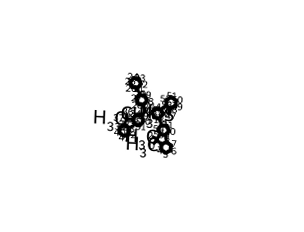 CC1(C)c2ccccc2-c2ccc(-c3cc(N(c4ccc(-c5ccccc5)cc4)c4ccc5c(c4)C(C)(C)c4ccccc4-5)cc4c3sc3ccccc34)cc21